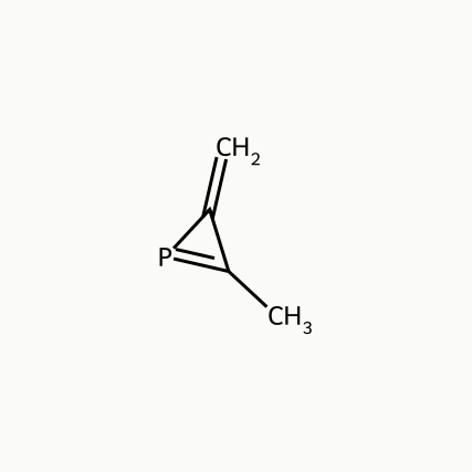 C=C1P=C1C